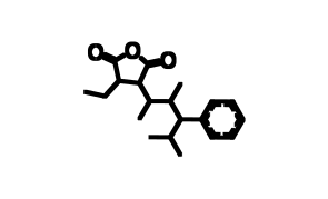 CCC1C(=O)OC(=O)C1C(C)C(C)C(c1ccccc1)C(C)C